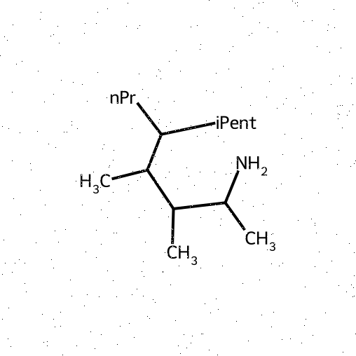 CCCC(C)C(CCC)C(C)C(C)C(C)N